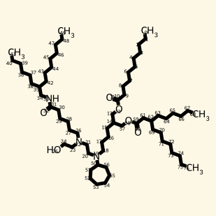 CCCCCCCCCCC(=O)OCC(CCCCN(CCN(CCO)CCCCCC(=O)NCC(CCCCCC)CCCCCCCC)C1CCCCCC1)COC(=O)CC(CCCCCC)CCCCCCCC